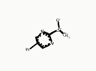 CC(C)c1cnc([S+](C)[O-])nc1